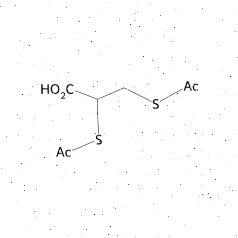 CC(=O)SCC(SC(C)=O)C(=O)O